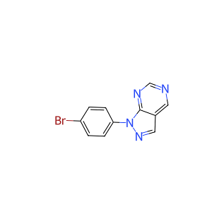 Brc1ccc(-n2ncc3cncnc32)cc1